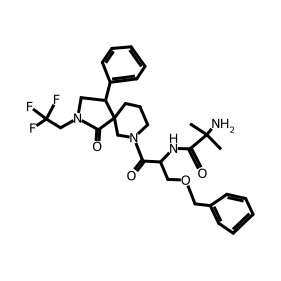 CC(C)(N)C(=O)NC(COCc1ccccc1)C(=O)N1CCCC2(C1)C(=O)N(CC(F)(F)F)CC2c1ccccc1